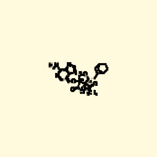 CC(=O)[C@@]1(O)[C@@H](CC2CC3CCC2C3)O[C@@H](n2cnc3c(N)ncnc32)[C@@]1(O)C(C)=O